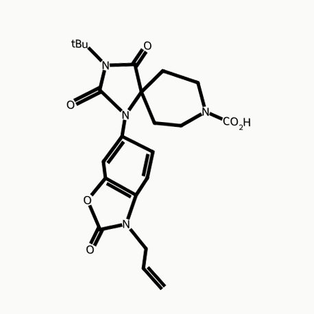 C=CCn1c(=O)oc2cc(N3C(=O)N(C(C)(C)C)C(=O)C34CCN(C(=O)O)CC4)ccc21